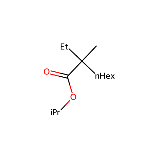 CCCCCCC(C)(CC)C(=O)OC(C)C